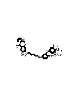 COc1cc(Oc2cc(OCCCCCOc3cc4c(cc3C)C(=O)N3CCC[C@H]3C=N4)ccc2N)cc(C)c1C